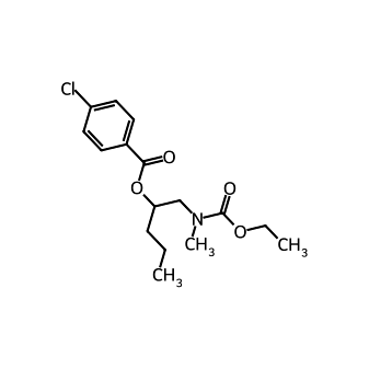 CCCC(CN(C)C(=O)OCC)OC(=O)c1ccc(Cl)cc1